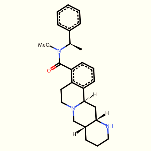 CON(C(=O)c1cccc2c1CCN1C[C@H]3CCCN[C@H]3C[C@H]21)[C@H](C)c1ccccc1